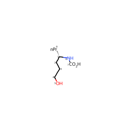 CCC[C@@H](CCCO)NC(=O)O